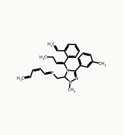 C=C/C=C\C=P\CC1N(C)N=C(c2cccc(C)c2)N1/C(=C/CC)c1ccccc1C=C